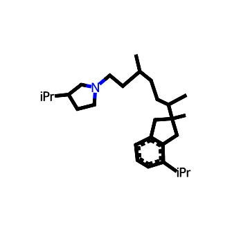 CC(CCC(C)C1(C)Cc2cccc(C(C)C)c2C1)CCN1CCC(C(C)C)C1